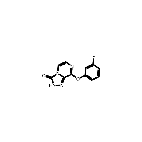 O=c1[nH]nc2c(Oc3cccc(F)c3)nccn12